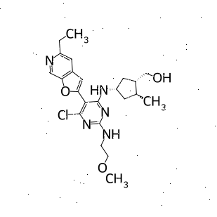 CCc1cc2cc(-c3c(Cl)nc(NCCOC)nc3N[C@@H]3C[C@H](CO)[C@@H](C)C3)oc2cn1